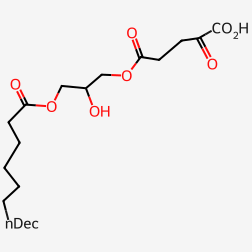 CCCCCCCCCCCCCCCC(=O)OCC(O)COC(=O)CCC(=O)C(=O)O